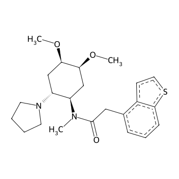 CO[C@H]1C[C@@H](N(C)C(=O)Cc2cccc3sccc23)[C@H](N2CCCC2)C[C@H]1OC